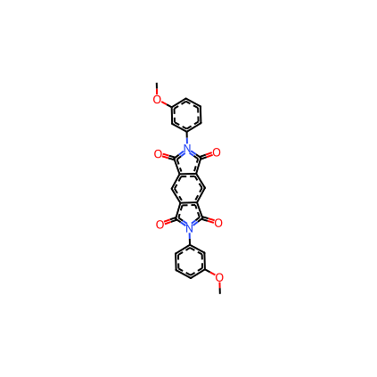 COc1cccc(-n2c(=O)c3cc4c(=O)n(-c5cccc(OC)c5)c(=O)c4cc3c2=O)c1